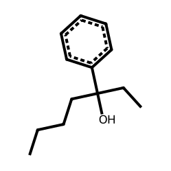 CCCCC(O)(CC)c1ccccc1